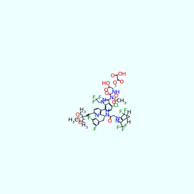 CC(C)(C#Cc1ccc(-c2ccc(Cl)c3c(N(C(=O)N[C@@H](COC(=O)C(=O)O)C(=O)O)S(C)(=O)=O)nn(CC(F)(F)F)c23)c([C@H](Cc2cc(F)cc(F)c2)NC(=O)Cn2nc(C(F)(F)F)c3c2C(F)(F)[C@@H]2C[C@H]32)n1)S(C)(=O)=O